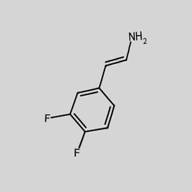 N/C=C/c1ccc(F)c(F)c1